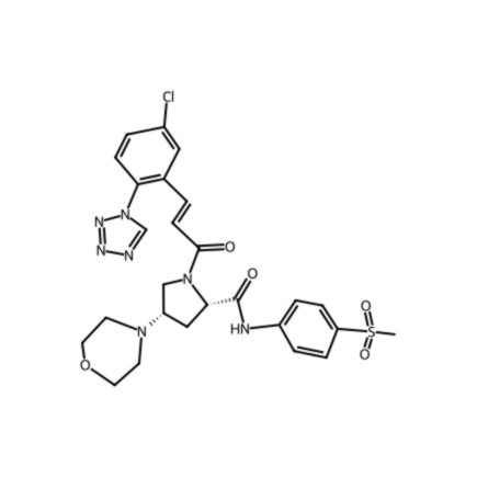 CS(=O)(=O)c1ccc(NC(=O)[C@@H]2C[C@H](N3CCOCC3)CN2C(=O)/C=C/c2cc(Cl)ccc2-n2cnnn2)cc1